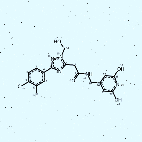 O=C(Cc1nc(-c2ccc(Cl)c(F)c2)nn1CO)NCc1cc(O)nc(O)c1